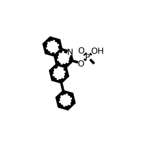 CP(=O)(O)Oc1nc2ccccc2c2ccc(-c3ccccc3)cc12